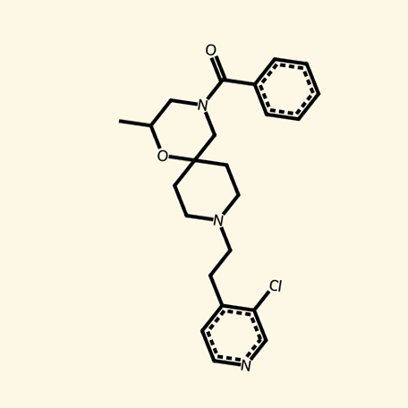 CC1CN(C(=O)c2ccccc2)CC2(CCN(CCc3ccncc3Cl)CC2)O1